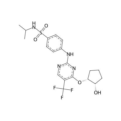 CC(C)NS(=O)(=O)c1ccc(Nc2ncc(C(F)(F)F)c(O[C@@H]3CCC[C@@H]3O)n2)cc1